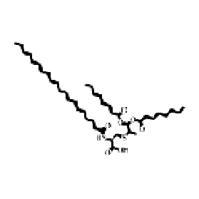 CCCCCCCCCCCCCCCCCCCC(=O)N[C@@H](CSC(C)C(OC(=O)CCCCCCC)OC(=O)CCCCCCC)C(=O)O